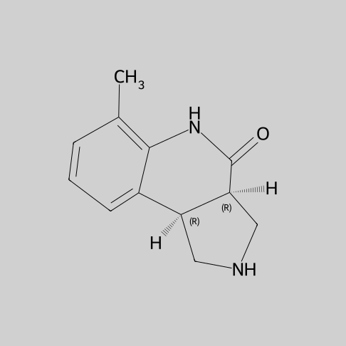 Cc1cccc2c1NC(=O)[C@H]1CNC[C@@H]21